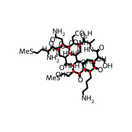 CSCCC(N)C(=O)NC(CC(N)=O)C(=O)NC(CC(N)=O)C(=O)NC(CCSC)C(=O)NC(CCCCN)C(=O)NC(CO)C(=O)NC(C)C(=O)NC(CC(=O)O)C(=O)NC(CC(N)=O)C(=O)NC(C=O)Cc1ccc(O)cc1